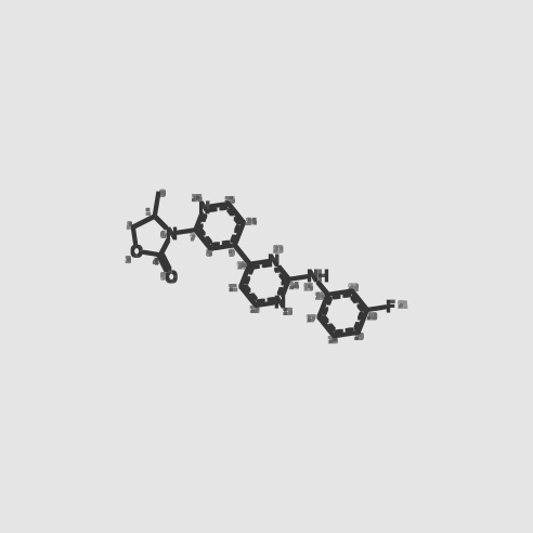 CC1COC(=O)N1c1cc(-c2ccnc(Nc3cccc(F)c3)n2)ccn1